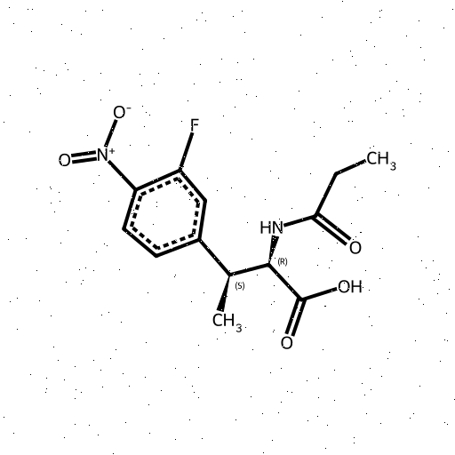 CCC(=O)N[C@@H](C(=O)O)[C@@H](C)c1ccc([N+](=O)[O-])c(F)c1